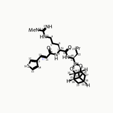 CNC(=N)NCCC[C@H](NC(=O)/C=C/c1ccsc1)C(=O)N[C@@H](CC(C)C)B1O[C@@H]2C[C@@H]3C[C@@H](C3(C)C)[C@]2(C)O1